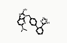 CCCc1nc2ccc(N(C)C)nc2n1Cc1ccc(-c2ccccc2-c2nnn[nH]2)cc1